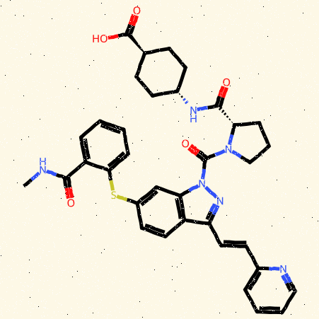 CNC(=O)c1ccccc1Sc1ccc2c(/C=C/c3ccccn3)nn(C(=O)N3CCC[C@H]3C(=O)N[C@H]3CC[C@H](C(=O)O)CC3)c2c1